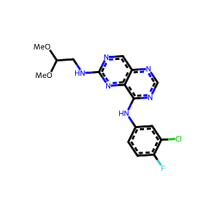 COC(CNc1ncc2ncnc(Nc3ccc(F)c(Cl)c3)c2n1)OC